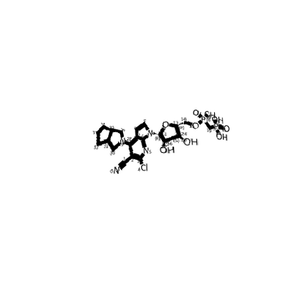 N#Cc1c(Cl)nc2c(ccn2[C@@H]2O[C@H](COP(=O)(O)CP(=O)(O)O)[C@@H](O)[C@H]2O)c1N1CC2CCCC2C1